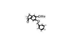 COc1cc2c(cc1OCc1ccccc1)C(=O)CC2